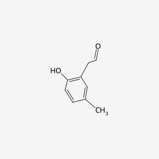 Cc1ccc(O)c(CC=O)c1